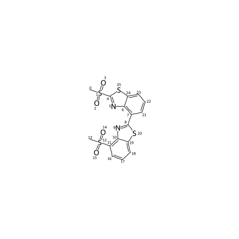 CS(=O)(=O)c1nc2c(-c3nc4c(S(C)(=O)=O)cccc4s3)cccc2s1